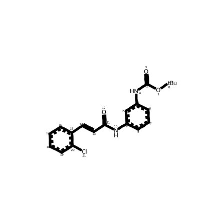 CC(C)(C)OC(=O)Nc1cccc(NC(=O)C=Cc2ccccc2Cl)c1